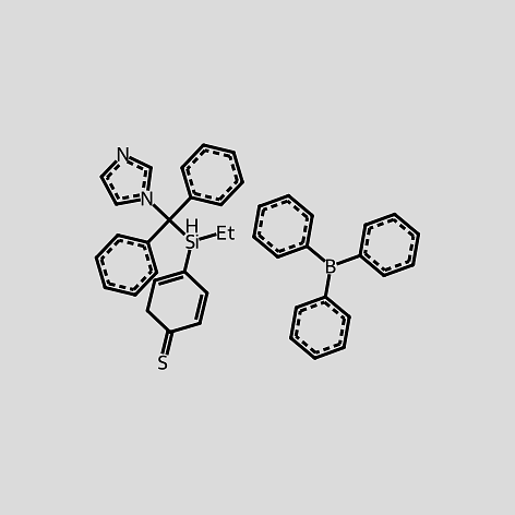 CC[SiH](C1=CCC(=S)C=C1)C(c1ccccc1)(c1ccccc1)n1ccnc1.c1ccc(B(c2ccccc2)c2ccccc2)cc1